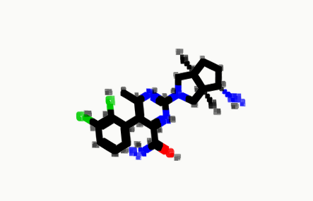 Cc1nc(N2C[C@H]3CC[C@H](N)[C@H]3C2)nc(C(N)=O)c1-c1cccc(Cl)c1Cl